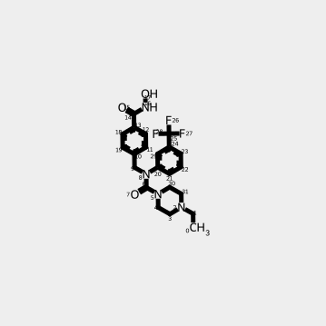 CCN1CCN(C(=O)N(Cc2ccc(C(=O)NO)cc2)c2cccc(C(F)(F)F)c2)CC1